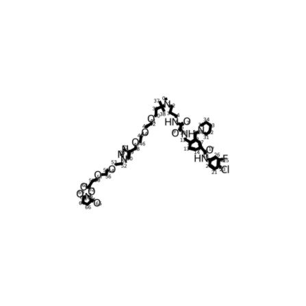 CN(CCCNC(=O)C(=O)NCc1ccc(C(=O)Nc2ccc(Cl)c(F)c2)cc1CN1CCCCC1)C(C)(C)CCOCCOCCOCc1cn(CCOCCOCCC(=O)ON2C(=O)CCC2=O)nn1